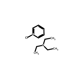 CCN(CC)CC.Cl[n+]1ccccc1